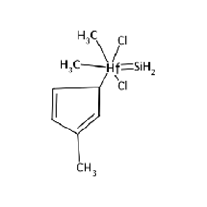 CC1=C[CH]([Hf]([CH3])([CH3])(=[SiH2])([Cl])[Cl])C=C1